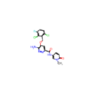 Cn1cc(NC(=O)c2cc(OCc3c(Cl)ccc(F)c3Cl)c(N)nn2)ccc1=O